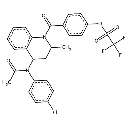 CC(=O)N(c1ccc(Cl)cc1)C1CC(C)N(C(=O)c2ccc(OS(=O)(=O)C(F)(F)F)cc2)c2ccccc21